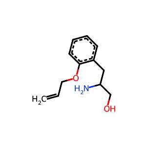 C=CCOc1ccccc1CC(N)CO